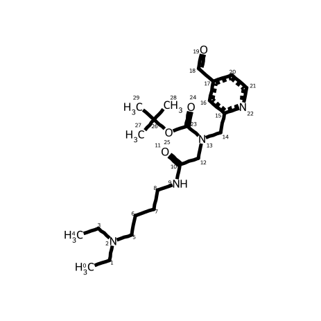 CCN(CC)CCCCNC(=O)CN(Cc1cc(C=O)ccn1)C(=O)OC(C)(C)C